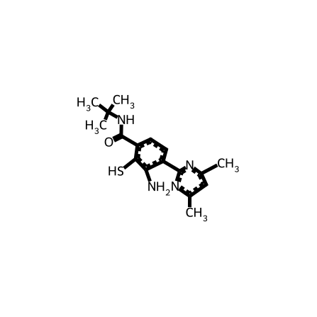 Cc1cc(C)nc(-c2ccc(C(=O)NC(C)(C)C)c(S)c2N)n1